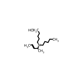 CC=CC(C)N(CCCCC)CCCCC.Cl